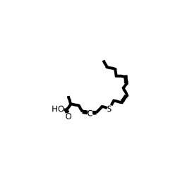 CCCC/C=C\C/C=C\CSCC=C=CCC(C)C(=O)O